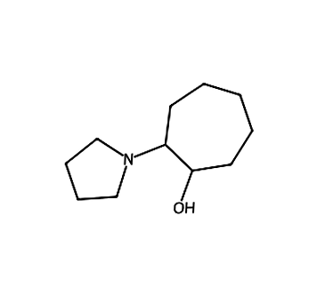 OC1CCCCCC1N1CCCC1